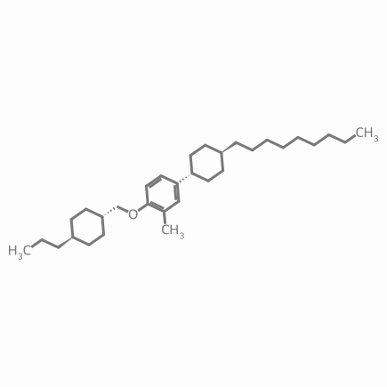 CCCCCCCCC[C@H]1CC[C@H](c2ccc(OC[C@H]3CC[C@H](CCC)CC3)c(C)c2)CC1